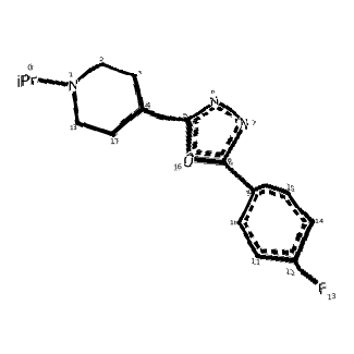 CC(C)N1CCC(c2nnc(-c3ccc(F)cc3)o2)CC1